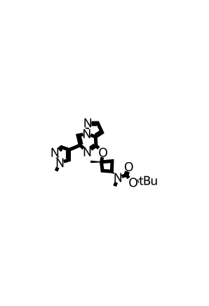 Cn1cc(-c2cn3nccc3c(O[C@]3(C)C[C@H](N(C)C(=O)OC(C)(C)C)C3)n2)cn1